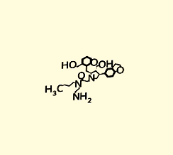 CCCCN(CCN)C(=O)CN1C[C@H](c2ccc3c(c2)CCO3)[C@@H](C(=O)O)[C@@H]1Cc1ccccc1CO